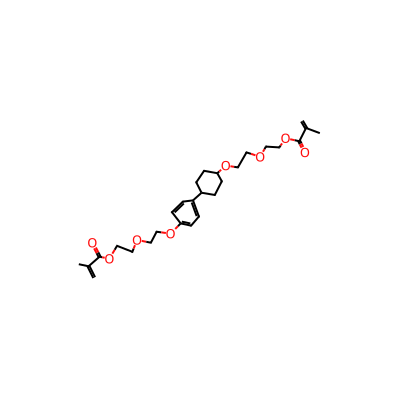 C=C(C)C(=O)OCCOCCOc1ccc(C2CCC(OCCOCCOC(=O)C(=C)C)CC2)cc1